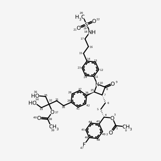 CC(=O)O[C@@H](CC[C@H]1C(=O)N(c2ccc(CCCNS(C)(=O)=O)cc2)[C@@H]1c1ccc(CCC(CO)(CO)OC(C)=O)cc1)c1ccc(F)cc1